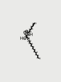 CCCCCCCCCCCCCSC[C@@H](O)[C@H](CO)NC(=O)CCCCCCC